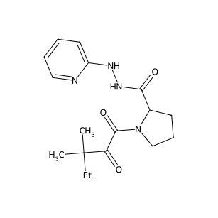 CCC(C)(C)C(=O)C(=O)N1CCCC1C(=O)NNc1ccccn1